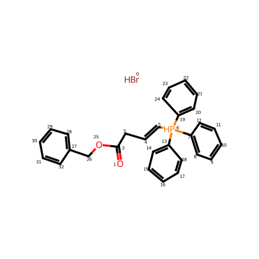 Br.O=C(CC=C[PH](c1ccccc1)(c1ccccc1)c1ccccc1)OCc1ccccc1